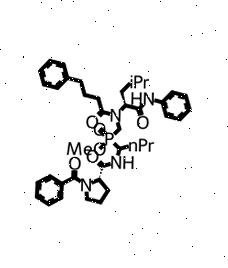 CCCC(NC(=O)[C@@H]1CCCN1C(=O)c1ccccc1)P(=O)(CN(C(=O)CCCc1ccccc1)[C@@H](CC(C)C)C(=O)Nc1ccccc1)OC